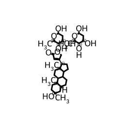 C[C@H]1OC(O)C[C@H](O)[C@@H]1O.C[C@H]1OC(O)C[C@H](O)[C@@H]1O.C[C@]1(O)CC[C@]2(C)C3CC[C@@]4(C)C(CC[C@@H]4C4=CC(=O)OC4)C3CC[C@@H]2C1